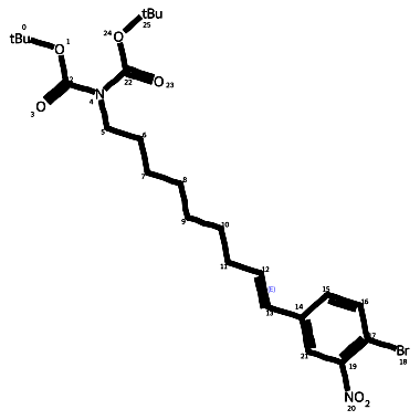 CC(C)(C)OC(=O)N(CCCCCCC/C=C/c1ccc(Br)c([N+](=O)[O-])c1)C(=O)OC(C)(C)C